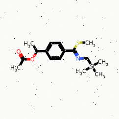 CSC(=NC[Si](C)(C)C)c1ccc(C(C)OC(C)=O)cc1